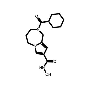 O=C(NO)c1cc2n(c1)CCCN(C(=O)C1CCCCC1)C2